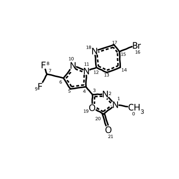 Cn1nc(-c2cc(C(F)F)nn2-c2ccc(Br)cn2)oc1=O